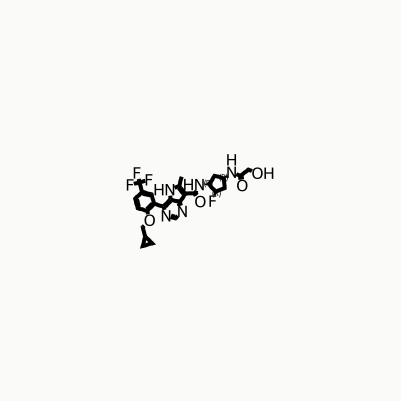 Cc1[nH]c2c(-c3cc(C(F)(F)F)ccc3OCC3CC3)ncnc2c1C(=O)N[C@@H]1C[C@@H](NC(=O)CO)C[C@H]1F